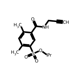 C#CCNC(=O)c1cc(S(=O)(=O)OC(C)C)c(C)cc1C